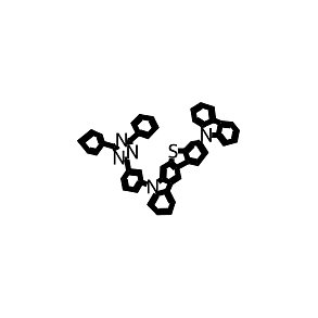 c1ccc(-c2nc(-c3ccccc3)nc(-c3cccc(-n4c5ccccc5c5cc6c(cc54)sc4cc(-n5c7ccccc7c7ccccc75)ccc46)c3)n2)cc1